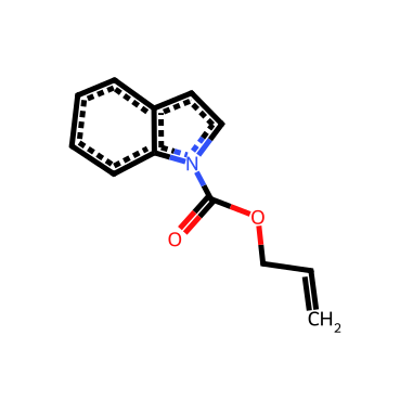 C=CCOC(=O)n1ccc2ccccc21